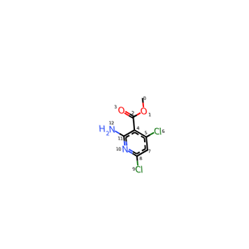 COC(=O)c1c(Cl)cc(Cl)nc1N